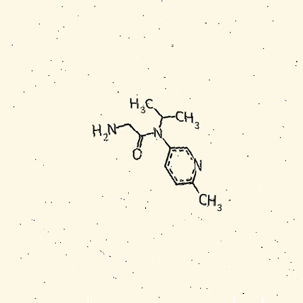 Cc1ccc(N(C(=O)CN)C(C)C)cn1